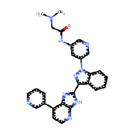 CN(C)CC(=O)Nc1cncc(-n2nc(-c3nc4c(-c5cccnc5)ccnc4[nH]3)c3ccccc32)c1